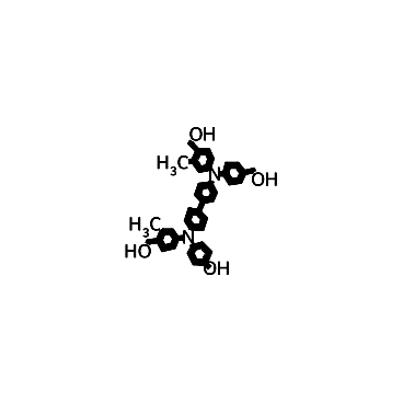 Cc1cc(N(c2ccc(O)cc2)c2ccc(-c3ccc(N(c4ccc(CO)cc4)c4ccc(CO)c(C)c4)cc3)cc2)ccc1CO